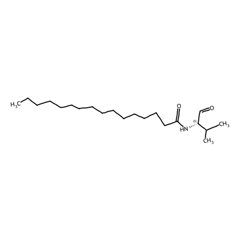 CCCCCCCCCCCCCCCC(=O)N[C@H](C=O)C(C)C